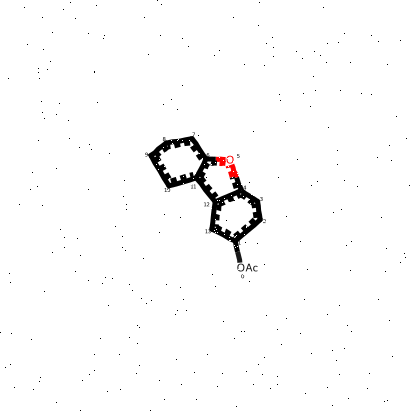 CC(=O)Oc1ccc2oc3ccccc3c2c1